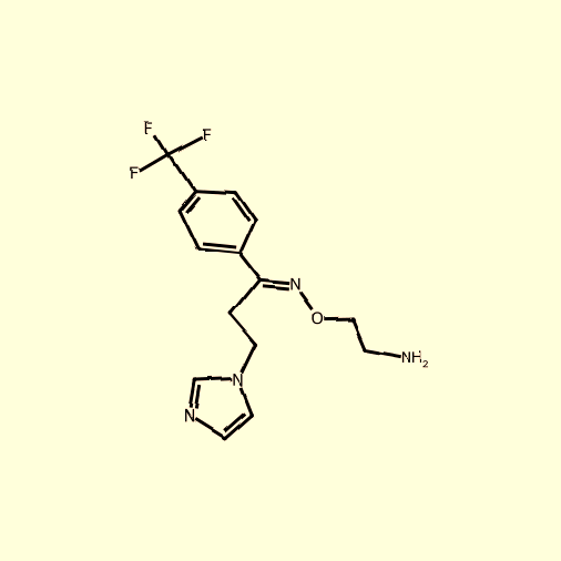 NCCON=C(CCn1ccnc1)c1ccc(C(F)(F)F)cc1